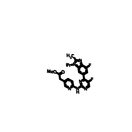 COC(=O)Cc1ccc(Nc2ncc(F)c(-c3cc(F)c4nc(C)n(C(C)C)c4c3)n2)nc1